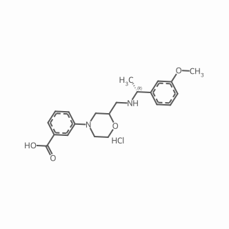 COc1cccc([C@@H](C)NCC2CN(c3cccc(C(=O)O)c3)CCO2)c1.Cl